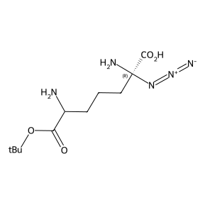 CC(C)(C)OC(=O)C(N)CCC[C@@](N)(N=[N+]=[N-])C(=O)O